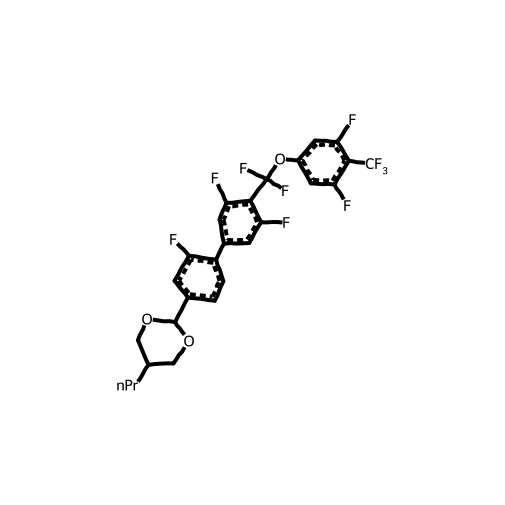 CCCC1COC(c2ccc(-c3cc(F)c(C(F)(F)Oc4cc(F)c(C(F)(F)F)c(F)c4)c(F)c3)c(F)c2)OC1